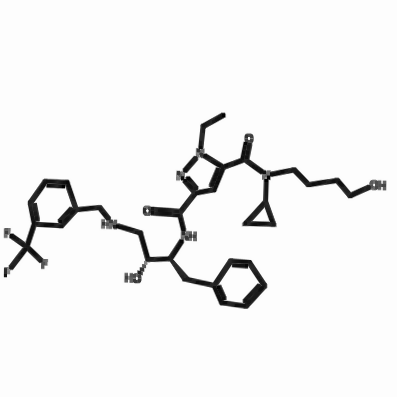 CCn1nc(C(=O)N[C@@H](Cc2ccccc2)[C@H](O)CNCc2cccc(C(F)(F)F)c2)cc1C(=O)N(CCCCO)C1CC1